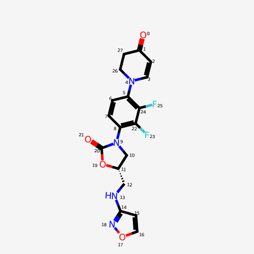 O=C1C=CN(c2ccc(N3C[C@H](CNc4ccon4)OC3=O)c(F)c2F)CC1